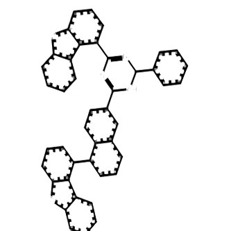 c1ccc(C2N=C(c3cccc4oc5ccccc5c34)N=C(c3ccc4c(-c5cccc6oc7cnccc7c56)cccc4c3)N2)cc1